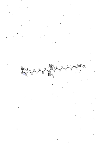 CCCCCCCCC=CCCCCCCCC(N)C(N)CCCCCCC/C=C\CCCCCCCC